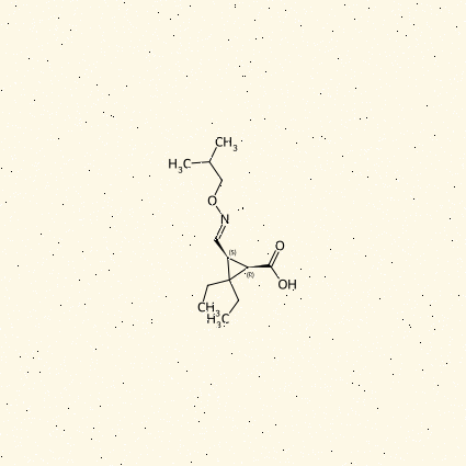 CCC1(CC)[C@H](C(=O)O)[C@@H]1C=NOCC(C)C